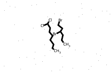 CCCC(Br)CCBr.CCCCCCCC(Cl)Cl